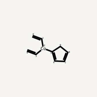 C=[CH][Co]([CH]=C)[C]1=CC=CC1